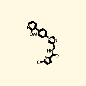 COc1ncccc1-c1ccc(-n2cnc(CNC(=O)c3ccc(Cl)s3)c2)cc1